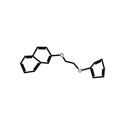 c1ccc(OCCOc2ccc3ccccc3c2)cc1